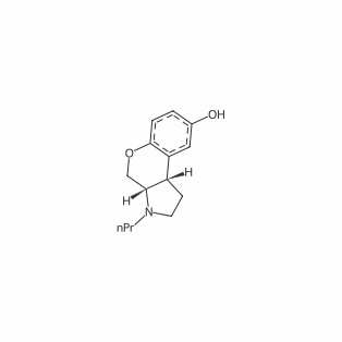 CCCN1CC[C@H]2c3cc(O)ccc3OC[C@H]21